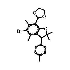 Cc1ccc(C2c3c(C)c(Br)c(C)c(C4OCCO4)c3OC2(C)C)cc1